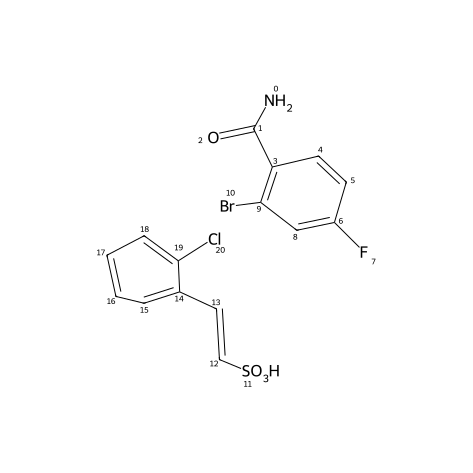 NC(=O)c1ccc(F)cc1Br.O=S(=O)(O)/C=C/c1ccccc1Cl